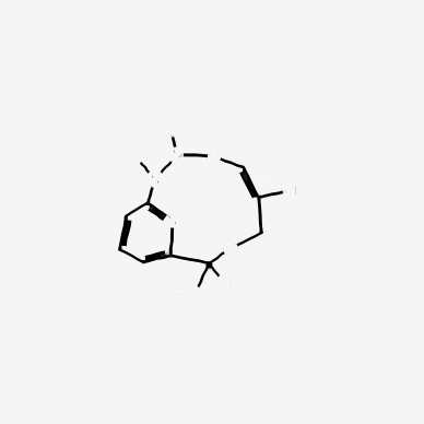 C/C1=C/CN(C)N(C)c2cccc(n2)C(C)(O)CC1